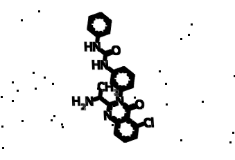 CC(N)c1nc2cccc(Cl)c2c(=O)n1-c1cccc(NC(=O)Nc2ccccc2)c1